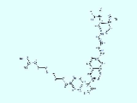 C=CC(=O)OCCCCCCOc1ccc(C(OO)c2ccc3cc(/C=N/N=C/c4ccc(OC)c(C(=O)OC)c4)ccc3c2)cc1